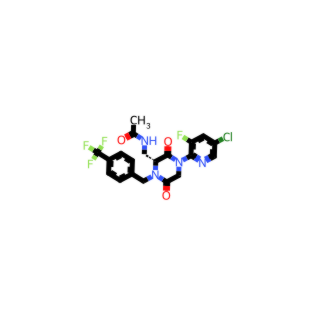 CC(=O)NC[C@@H]1C(=O)N(c2ncc(Cl)cc2F)CC(=O)N1Cc1ccc(C(F)(F)F)cc1